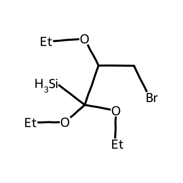 CCOC(CBr)C([SiH3])(OCC)OCC